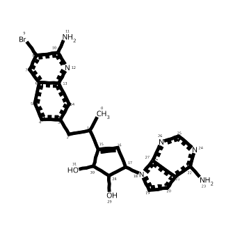 CC(Cc1ccc2cc(Br)c(N)nc2c1)C1=CC(n2ccc3c(N)ncnc32)C(O)C1O